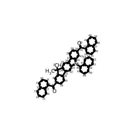 CC1(C)c2cc(C(=O)c3cccc4ccccc34)ccc2-c2cc3c(cc21)c1ccc(C(=O)c2cccc4ccccc24)cc1n3-c1cccc2ccccc12